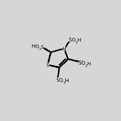 O=S(=O)(O)C1=C(S(=O)(=O)O)N(S(=O)(=O)O)C(S(=O)(=O)O)S1